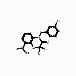 C[C@H](O)c1cccc2c1OC(F)(F)C(=O)N2Cc1cccc(F)c1